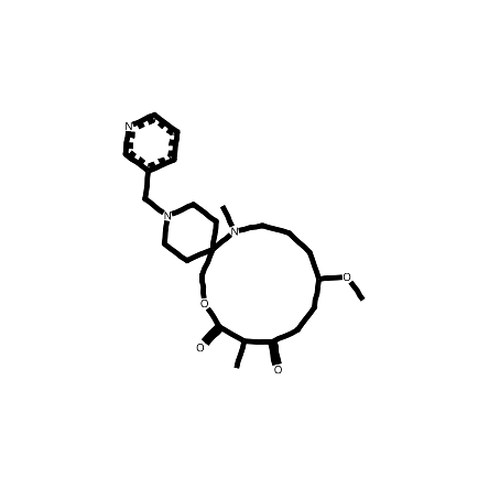 COC1CCCN(C)C2(CCN(Cc3cccnc3)CC2)COC(=O)C(C)C(=O)CC1